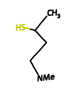 CNCCC(C)S